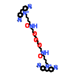 CN(C)c1ccc2cc3ccc(N(C)C)cc3[n+](CCCCCC(=O)NCCCOCCOCCOCCCNC(=O)CCCCC[n+]3c4cc(N(C)C)ccc4cc4ccc(N(C)C)cc43)c2c1